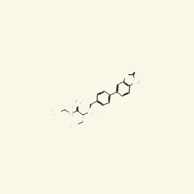 CC(C)C[C@H](N[C@@H](c1ccc(-c2ccc3[nH]c(=O)sc3c2)cc1)C(F)(F)F)C(=O)NCC#N